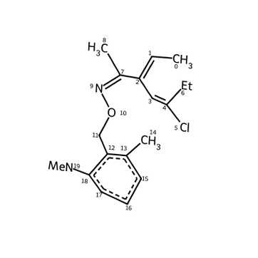 C/C=C(\C=C(\Cl)CC)C(C)=NOCc1c(C)cccc1NC